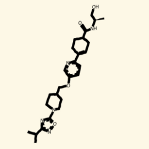 CC(C)c1noc(N2CCC(COc3ccc(C4=CCC(C(=O)N[C@H](C)CO)CC4)nc3)CC2)n1